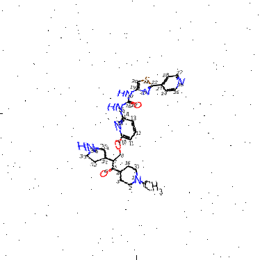 CN1CCC(C(=O)C(COc2cccc(NC(=O)Nc3csc(-c4ccncc4)n3)n2)C2CCNC2)CC1